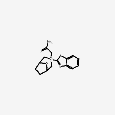 NC(=O)C[N+]1(c2nc3ccccc3s2)CC2CCC(C1)O2